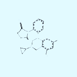 O=C1CCC(=O)N1c1ccccc1[C@@H]1CN(C2CC2)Cc2c(Cl)cc(Cl)cc21